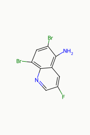 Nc1c(Br)cc(Br)c2ncc(F)cc12